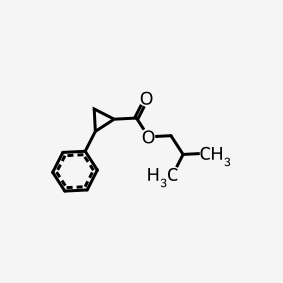 CC(C)COC(=O)C1CC1c1ccccc1